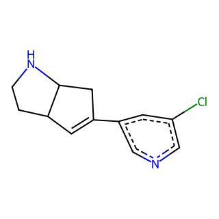 Clc1cncc(C2=CC3CCNC3C2)c1